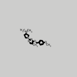 COc1ccc(COc2nc(N3CCC(N(C)C)C3)ncc2C)cc1